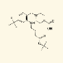 CC(C)(C)OC(=O)CCCNc1cc(C(F)(F)F)ccc1CN1CCN(C(=O)O)CC1